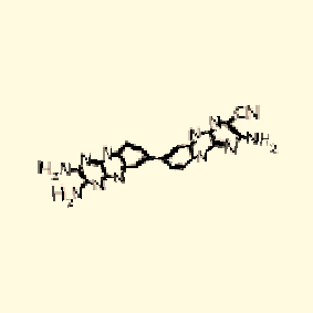 N#Cc1nc2nc3cc(-c4ccc5nc6nc(N)c(N)nc6nc5c4)ccc3nc2nc1N